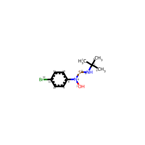 CC(C)(C)NSN(O)c1ccc(Br)cc1